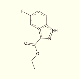 CCOC(=O)c1n[nH]c2ccc(F)cc12